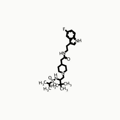 CC(C)S(=O)(=O)NC(CN1CCC(CC(=O)NCCc2c[nH]c3ccc(F)cc23)CC1)C(C)(C)C